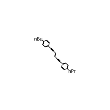 CCCCc1ccc(C#C/C=C/C#Cc2ccc(CCC)cc2)cc1